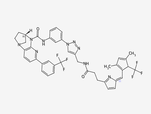 CC1=CC(C)=C(/C=C2/C=CC(CCC(=O)NCc3cn(-c4cccc(NC(=O)N5c6nc(-c7cccc(C(F)(F)F)c7)ccc6N6CC[C@H]5C6)c4)nn3)=N2)C1C(F)(F)F